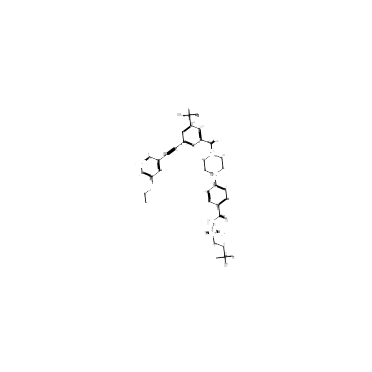 CCOc1cncc(C#Cc2cc(C(=O)N3CCN(c4ccc(C(=O)NS(=O)(=O)CCC(F)(F)F)cc4)CC3)cc(C(F)(F)F)c2)c1